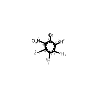 [2H]c1c([2H])c([2H])c([N+](=O)[O-])c(Br)c1[2H]